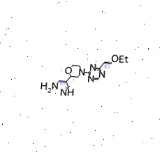 CCO/C=C/c1ncnc(N2CCOC(/C(C=N)=C/N)C2)n1